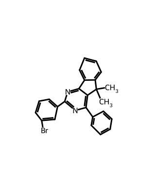 CC1(C)c2ccccc2-c2nc(-c3cccc(Br)c3)nc(-c3ccccc3)c21